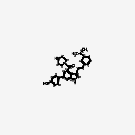 CN(C)c1cccc(/C=C/c2n[nH]c3nc(-c4ccc(O)cc4)cc(C(=O)N4CCNCC4)c23)c1